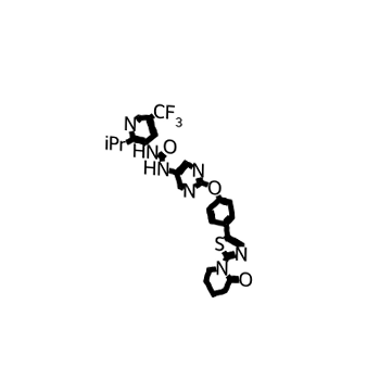 CC(C)c1ncc(C(F)(F)F)cc1NC(=O)Nc1cnc(Oc2ccc(-c3cnc(N4CCCCC4=O)s3)cc2)nc1